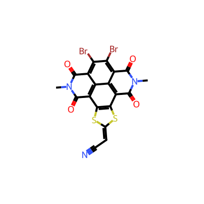 Cn1c(=O)c2c(Br)c(Br)c3c(=O)n(C)c(=O)c4c5sc(=CC#N)sc5c(c1=O)c2c34